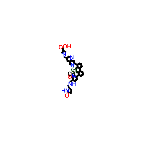 COc1nc(-c2cccc(-c3cccc(-c4cc5ncc(CN6CC(C(=O)O)C6)cc5cn4)c3Cl)c2Cl)ccc1CNCC1CCC(=O)N1